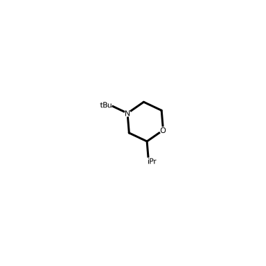 CC(C)C1CN(C(C)(C)C)CCO1